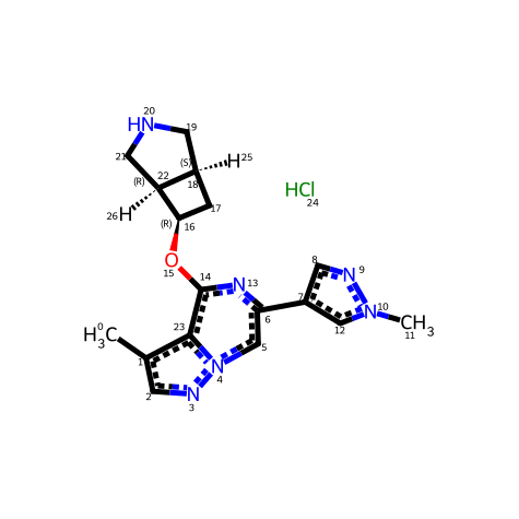 Cc1cnn2cc(-c3cnn(C)c3)nc(O[C@@H]3C[C@@H]4CNC[C@@H]43)c12.Cl